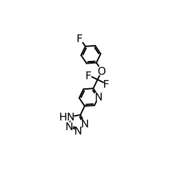 Fc1ccc(OC(F)(F)c2ccc(-c3nnn[nH]3)cn2)cc1